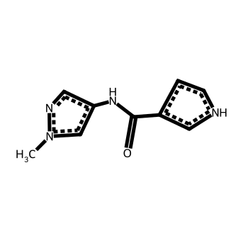 Cn1cc(NC(=O)c2cc[nH]c2)cn1